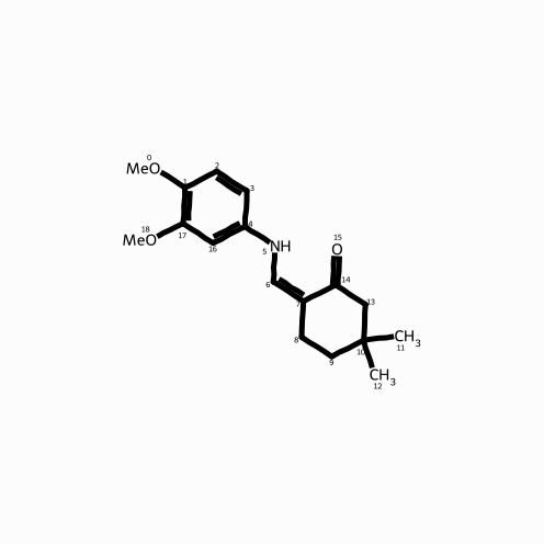 COc1ccc(N/C=C2/CCC(C)(C)CC2=O)cc1OC